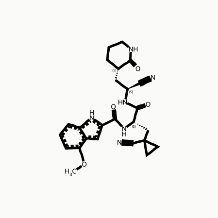 COc1cccc2[nH]c(C(=O)N[C@@H](CC3(C#N)CC3)C(=O)N[C@H](C#N)C[C@@H]3CCCNC3=O)cc12